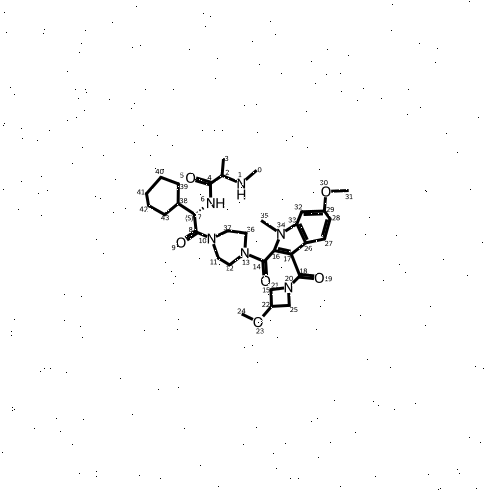 CNC(C)C(=O)N[C@H](C(=O)N1CCN(C(=O)c2c(C(=O)N3CC(OC)C3)c3ccc(OC)cc3n2C)CC1)C1CCCCC1